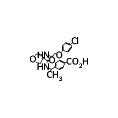 CC(NC(=O)C1(NCCOc2ccc(Cl)cc2)CCOCC1)c1ccc(C(=O)O)cc1